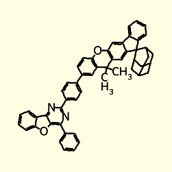 CC1(C)c2cc(-c3ccc(-c4nc(-c5ccccc5)c5oc6ccccc6c5n4)cc3)ccc2Oc2cc3c(cc21)C1(c2ccccc2-3)C2CC3CC(C2)CC1C3